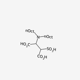 CCCCCCCCN(CCCCCCCC)C(C(=O)O)C(C(=O)O)S(=O)(=O)O